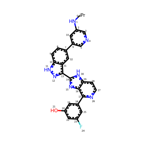 CC(C)Nc1cncc(-c2ccc3[nH]nc(-c4nc5c(-c6cc(O)cc(F)c6)nccc5[nH]4)c3c2)c1